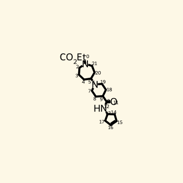 CCOC(=O)N1CCCC(N2CCC(C(=O)NC3CC=CC3)CC2)CC1